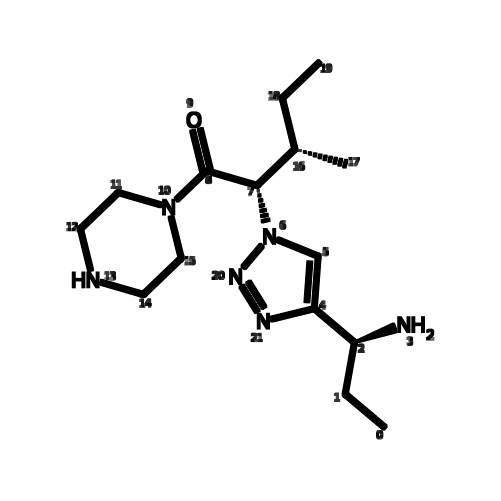 CC[C@H](N)c1cn([C@H](C(=O)N2CCNCC2)[C@@H](C)CC)nn1